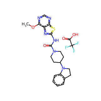 COc1ncnc2sc(NC(=O)N3CCC(N4CCc5ccccc54)CC3)nc12.O=C(O)C(F)(F)F